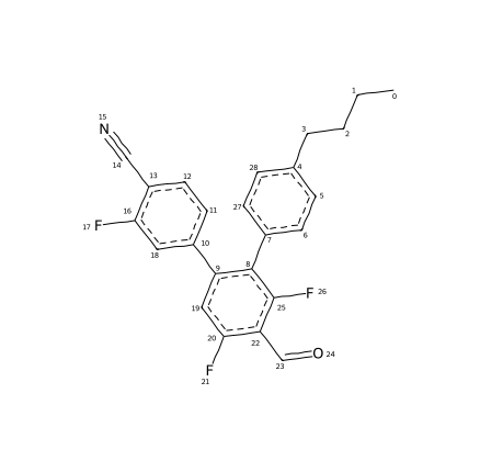 CCCCc1ccc(-c2c(-c3ccc(C#N)c(F)c3)cc(F)c(C=O)c2F)cc1